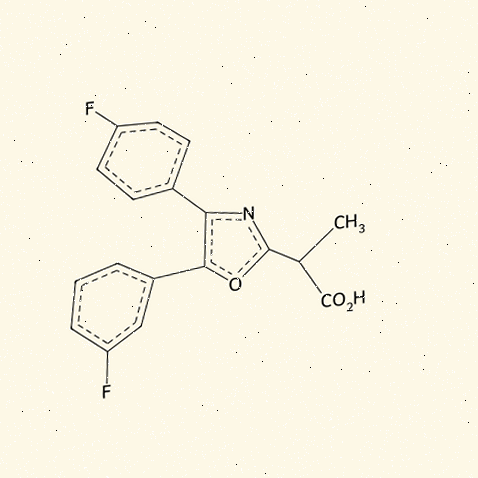 CC(C(=O)O)c1nc(-c2ccc(F)cc2)c(-c2cccc(F)c2)o1